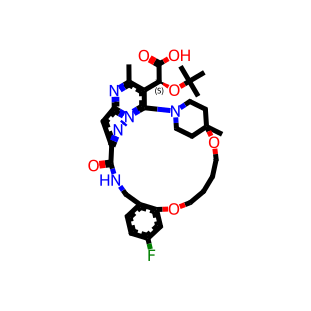 Cc1nc2cc3nn2c(c1[C@H](OC(C)(C)C)C(=O)O)N1CCC(C)(CC1)OCCCCOc1cc(F)ccc1CNC3=O